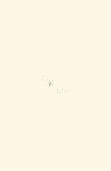 CCc1ccc(S(=O)(=O)N2CCC(N3COCc4cc(Br)ccc43)CC2)cc1